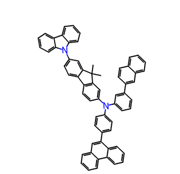 CC1(C)c2cc(N(c3ccc(-c4cc5ccccc5c5ccccc45)cc3)c3cccc(-c4ccc5ccccc5c4)c3)ccc2-c2ccc(-n3c4ccccc4c4ccccc43)cc21